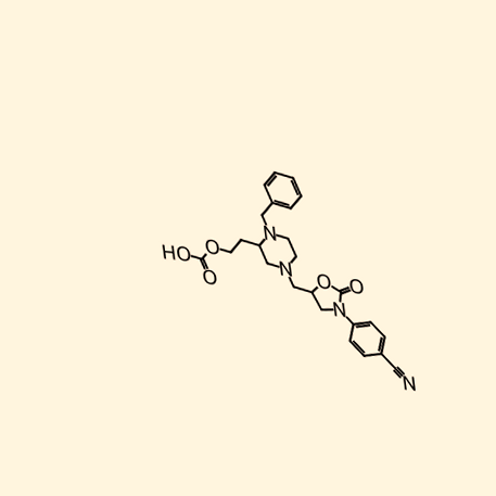 N#Cc1ccc(N2CC(CN3CCN(Cc4ccccc4)C(CCOC(=O)O)C3)OC2=O)cc1